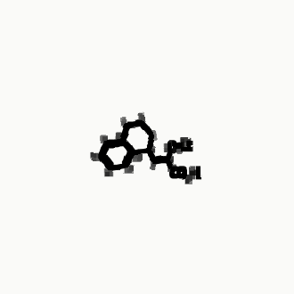 CCOC(=CC1CCCc2ccccc21)C(=O)O